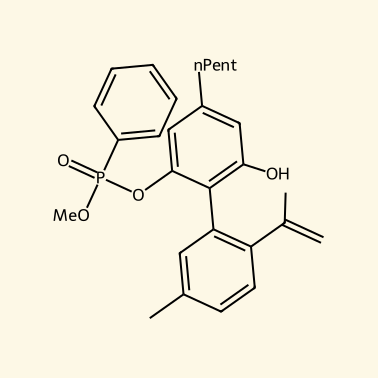 C=C(C)c1ccc(C)cc1-c1c(O)cc(CCCCC)cc1OP(=O)(OC)c1ccccc1